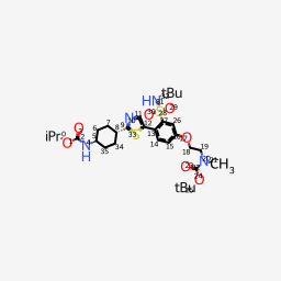 CC(C)OC(=O)N[C@H]1CC[C@H](c2ncc(-c3ccc(OCCN(C)C(=O)OC(C)(C)C)cc3S(=O)(=O)NC(C)(C)C)s2)CC1